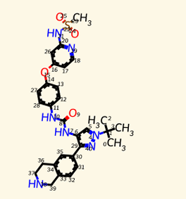 CC(C)(C)n1cc(NC(=O)Nc2ccc(Oc3ccnc(NS(C)(=O)=O)c3)cc2)c(-c2ccc3c(c2)CCNC3)n1